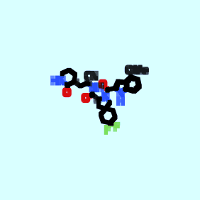 COc1cccc2[nH]c(C(=O)N3CC4(CCC(F)(F)CC4)C[C@H]3C(=O)N[C@H](C#N)C[C@@H]3CCCNC3=O)cc12